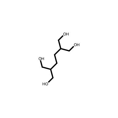 OCC(CO)CCC(CO)CO